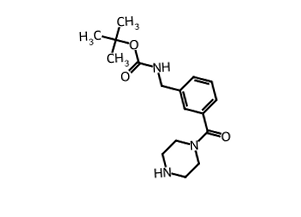 CC(C)(C)OC(=O)NCc1cccc(C(=O)N2CCNCC2)c1